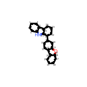 c1ccc2c(c1)[nH]c1c(-c3ccc4c(c3)oc3ccccc34)cccc12